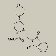 COC(=O)[C@@H]1CCC(N2CCOCC2)CN1CCN1C(=O)c2ccccc2C1=O